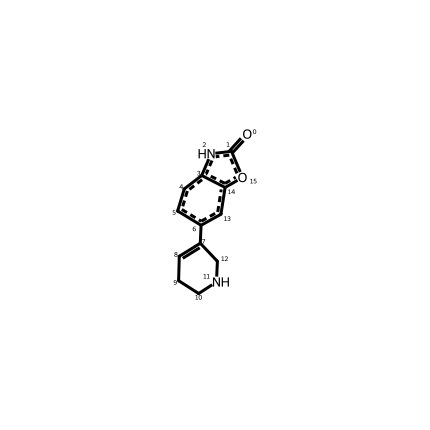 O=c1[nH]c2ccc(C3=CCCNC3)cc2o1